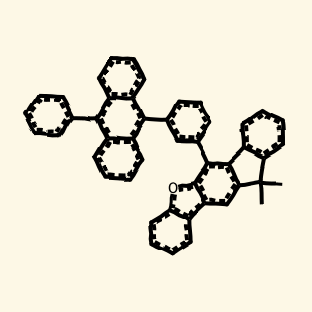 CC1(C)c2ccccc2-c2c1cc1c(oc3ccccc31)c2-c1cccc(-c2c3ccccc3c(-c3ccccc3)c3ccccc23)c1